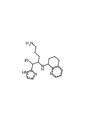 CC(C)C(c1ncc[nH]1)C(CCCN)NC1CCCc2cccnc21